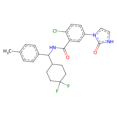 Cc1ccc(C(NC(=O)c2cc(-n3cc[nH]c3=O)ccc2Cl)C2CCC(F)(F)CC2)cc1